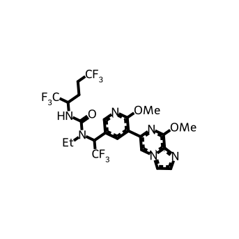 CCN(C(=O)NC(CCC(F)(F)F)C(F)(F)F)C(c1cnc(OC)c(-c2cn3ccnc3c(OC)n2)c1)C(F)(F)F